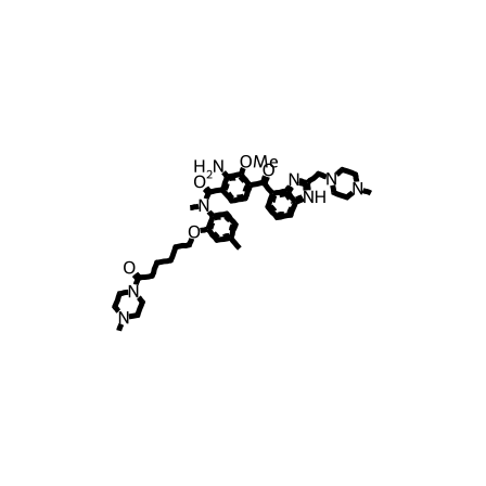 COc1c(C(=O)c2cccc3[nH]c(CN4CCN(C)CC4)nc23)ccc(C(=O)N(C)c2ccc(C)cc2OCCCCCC(=O)N2CCN(C)CC2)c1N